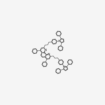 c1ccc(-c2cc(CCCc3ccc(-n4c(-c5ccccc5)ccc4-c4ccccc4)cc3)nc3c2ccc2c(-c4ccccc4)cc(CCCc4ccc(-n5c(-c6ccccc6)ccc5-c5ccccc5)cc4)nc23)cc1